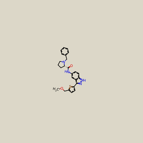 COCc1ccc(-c2n[nH]c3ccc(NC(=O)[C@@H]4CCCN4Cc4ccccc4)cc23)s1